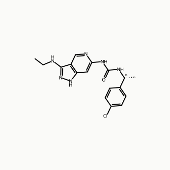 CCNc1n[nH]c2cc(NC(=O)N[C@H](C)c3ccc(Cl)cc3)ncc12